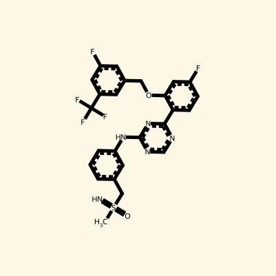 CS(=N)(=O)Cc1cccc(Nc2ncnc(-c3ccc(F)cc3OCc3cc(F)cc(C(F)(F)F)c3)n2)c1